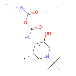 CC(C)(C)N1CC[C@H](NC(=O)OC(N)=O)[C@@H](O)C1